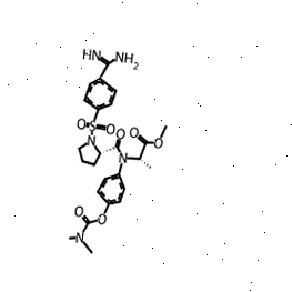 COC(=O)[C@H](C)N(C(=O)[C@@H]1CCCN1S(=O)(=O)c1ccc(C(=N)N)cc1)c1ccc(OC(=O)N(C)C)cc1